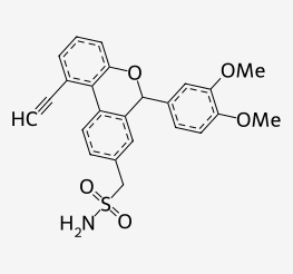 C#Cc1cccc2c1-c1ccc(CS(N)(=O)=O)cc1C(c1ccc(OC)c(OC)c1)O2